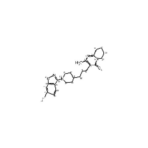 Cc1nc2n(c(=O)c1CCCC1CCN(c3noc4cc(F)ccc34)CC1)CCCC2